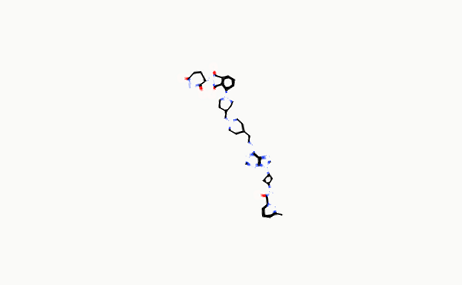 Cc1cccc(C(=O)NC2CC(n3cnc4c(NCCC5CCN(CC6CCN(c7cccc8c7C(=O)N([C@H]7CCC(=O)NC7=O)C8=O)CC6)CC5)ncnc43)C2)n1